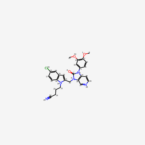 COc1ccc(-n2c(=O)n(Cc3cc4cc(Cl)ccc4n3CCCC#N)c3cnccc32)cc1OC